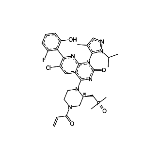 C=CC(=O)N1CCN(c2nc(=O)n(-c3c(C)cnn3C(C)C)c3nc(-c4c(O)cccc4F)c(Cl)cc23)[C@@H](CP(C)(C)=O)C1